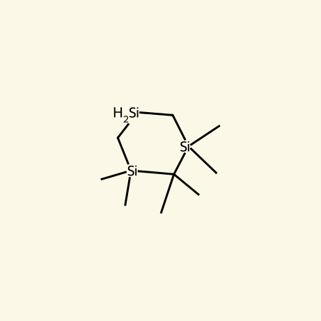 CC1(C)[Si](C)(C)C[SiH2]C[Si]1(C)C